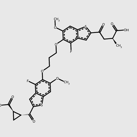 COc1cc2sc(C(=O)C[C@H](C)C(=O)O)cc2c(F)c1OCCCOc1c(OC)cc2sc(C(=O)[C@@H]3C[C@H]3C(=O)O)cc2c1F